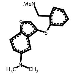 CNCc1ccccc1Sc1csc2ccc(N(C)C)cc12